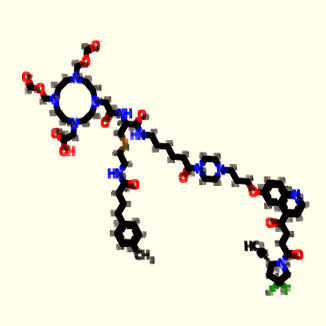 C#C[C@H]1CC(F)(F)CN1C(=O)CCC(=O)c1ccnc2ccc(OCCCN3CCN(C(=O)CCCCCNC(=O)C(CSCCNC(=O)CCCc4ccc(C)cc4)NC(=O)CN4CCN(COC=O)CCN(COC=O)CCN(CC(=O)O)CC4)CC3)cc12